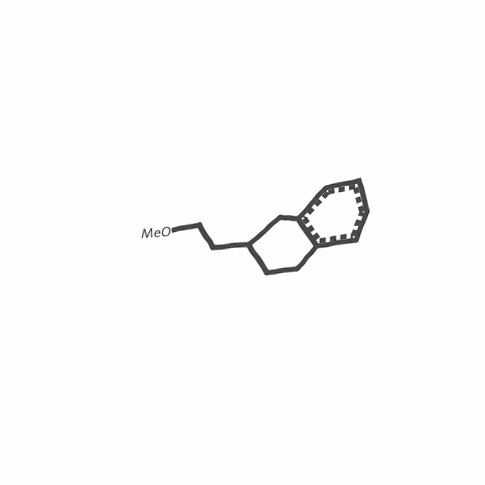 COCCC1CCc2ccccc2C1